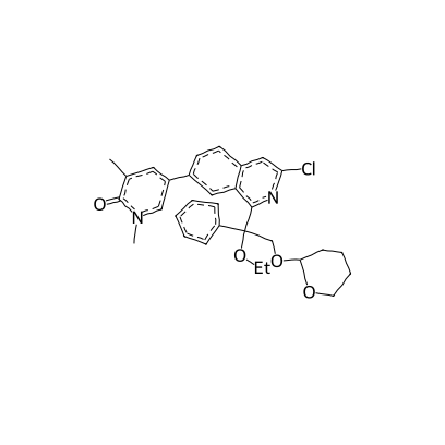 CCOC(COC1CCCCO1)(c1ccccc1)c1nc(Cl)cc2ccc(-c3cc(C)c(=O)n(C)c3)cc12